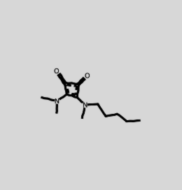 CCCCCN(C)c1c(N(C)C)c(=O)c1=O